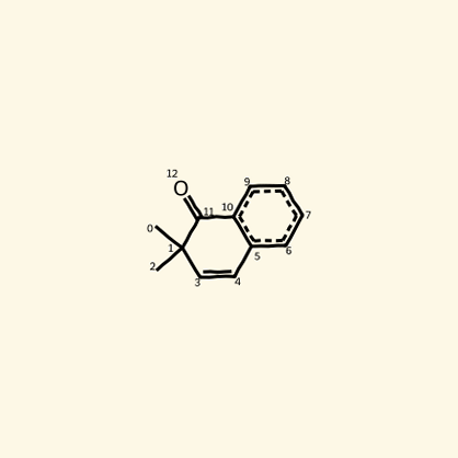 CC1(C)C=Cc2ccccc2C1=O